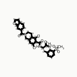 CS(=O)(=O)c1cccc(C[C@H](NC(=O)c2c(Cl)cc3c(c2Cl)CCN(C(=O)c2ccc4ccoc4c2)C3)C(N)=O)c1